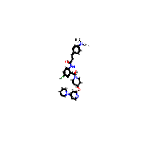 CN(C)c1ccc(CCC(=O)Nc2ccc(F)cc2C(=O)N2CCC(Oc3cc(N4CCCCC4)ccn3)CC2)cc1